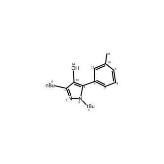 CCCCc1nn(C(C)(C)C)c(-c2cccc(C)c2)c1O